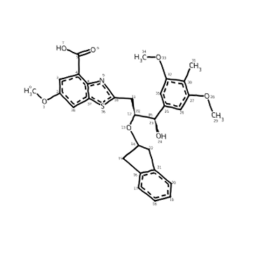 COc1cc(C(=O)O)c2nc(C[C@H](OC3Cc4ccccc4C3)[C@H](O)c3cc(OC)c(C)c(OC)c3)sc2c1